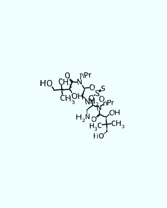 CCCN(C(=O)C(O)C(C)(C)CO)C(CN)OS(=O)(=S)OC(CN)N(CCC)C(=O)C(O)C(C)(C)CO